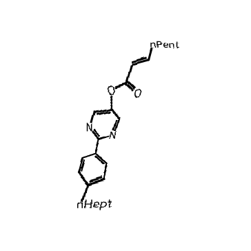 CCCCCC=CC(=O)Oc1cnc(-c2ccc(CCCCCCC)cc2)nc1